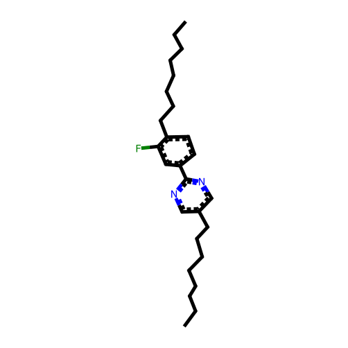 CCCCCCCCc1cnc(-c2ccc(CCCCCCCC)c(F)c2)nc1